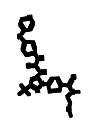 COCCN(C)C(=O)c1ccc(-n2nc(C(C)(C)C)cc2NC(=O)Nc2ccc(Oc3ccncc3)cc2)cc1